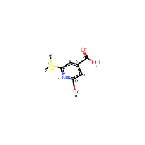 C[SH](C)c1cc(C(=O)O)cc(Br)n1